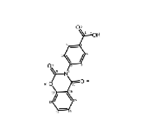 O=C(O)c1ccc(-n2c(=O)oc3ccccc3c2=O)cc1